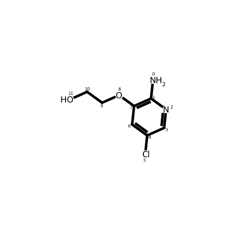 Nc1ncc(Cl)cc1OCCO